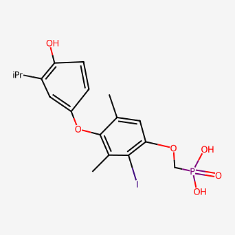 Cc1cc(OCP(=O)(O)O)c(I)c(C)c1Oc1ccc(O)c(C(C)C)c1